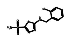 NS(=O)(=O)c1nnc(NCc2ccccc2Cl)s1